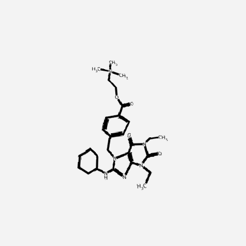 CCn1c(=O)c2c(nc(NC3CCCCC3)n2Cc2ccc(C(=O)OCC[Si](C)(C)C)cc2)n(CC)c1=O